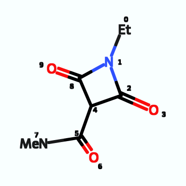 CCN1C(=O)C(C(=O)NC)C1=O